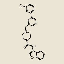 O=C(Nc1noc2ccccc12)N1CCN(Cc2cccc(-c3cccc(Cl)c3)c2)CC1